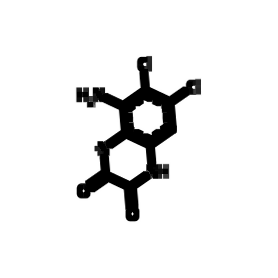 Nc1c(Cl)c(Cl)cc2c1[N]C(=O)C(=O)N2